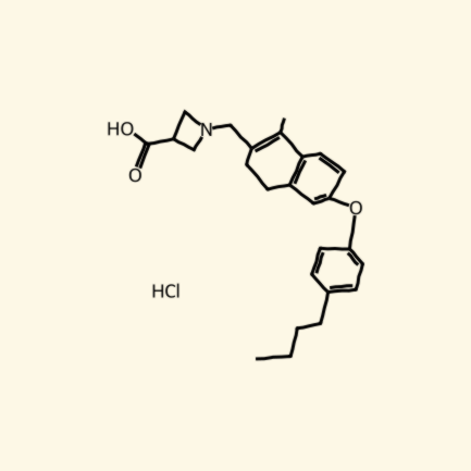 CCCCc1ccc(Oc2ccc3c(c2)CCC(CN2CC(C(=O)O)C2)=C3C)cc1.Cl